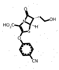 N#Cc1ccc(OC2=C(C(=O)O)N3C(=O)[C@H](CCO)[C@H]3S2)cc1